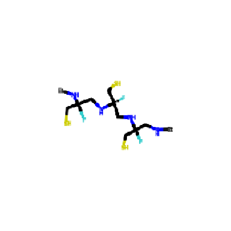 CCNCC(F)(CS)NC[C@](F)(CS)NCC(F)(CS)NCC